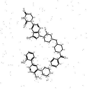 CCc1cn([C@@H]2CCN(CC3CCN(C(=O)c4ccc([C@H]5CN(c6cc(-c7ccccc7O)nnc6N)[C@@H](C)[C@@H](C)O5)cc4)CC3)C[C@@H]2F)c2ncc(N3CCC(=O)NC3=O)cc12